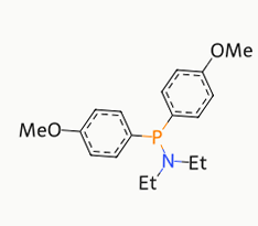 CCN(CC)P(c1ccc(OC)cc1)c1ccc(OC)cc1